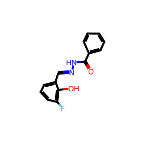 O=C(N/N=C/c1cccc(F)c1O)c1ccccc1